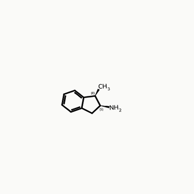 C[C@@H]1c2ccccc2C[C@@H]1N